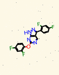 Fc1ccc(Oc2n[c]c3c(-c4ccc(F)cc4F)n[nH]c3n2)c(F)c1